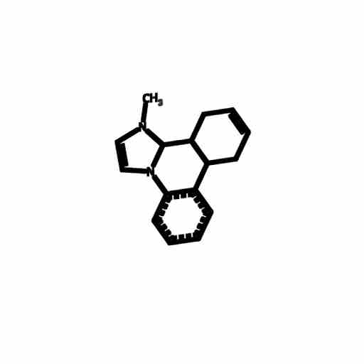 CN1C=CN2c3ccccc3C3CC=CCC3C12